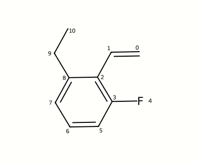 C=Cc1c(F)cccc1CC